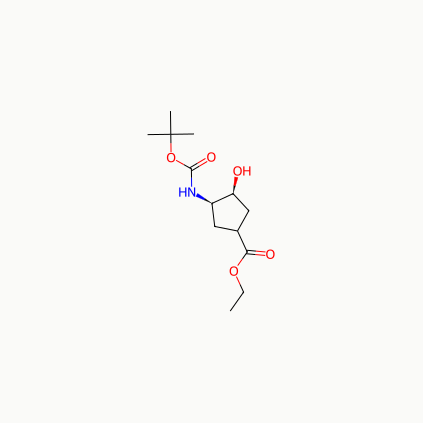 CCOC(=O)C1C[C@H](O)[C@H](NC(=O)OC(C)(C)C)C1